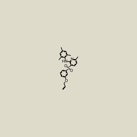 C=CCOc1cccc(S(=O)(=O)c2ccc(C)nc2Nc2c(C)cc(C)cc2C)c1